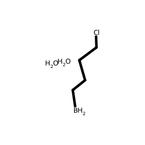 BCCCCCl.O.O